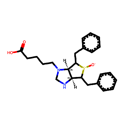 O=C(O)CCCCN1CN[C@@H]2C(Cc3ccccc3)[S+]([O-])C(Cc3ccccc3)[C@@H]21